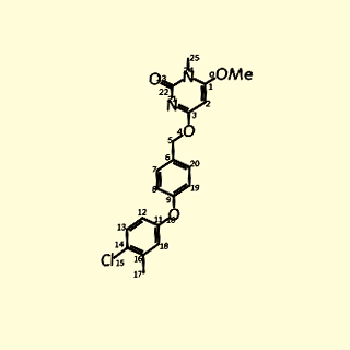 COc1cc(OCc2ccc(Oc3ccc(Cl)c(C)c3)cc2)nc(=O)n1C